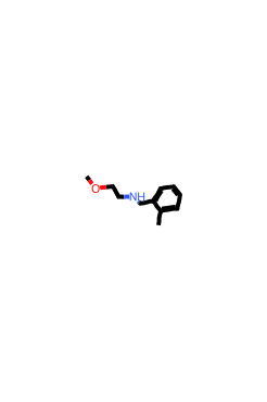 COCCNCc1ccccc1C